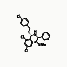 C=C(NC)[C@H](N[C@@H](CCc1ccc(Cl)cc1)c1ccc(Cl)cc1Cl)c1ccccc1